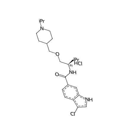 CC(C)[C@H](COCC1CCN(C(C)C)CC1)NC(=O)c1ccc2c(Cl)c[nH]c2c1.Cl